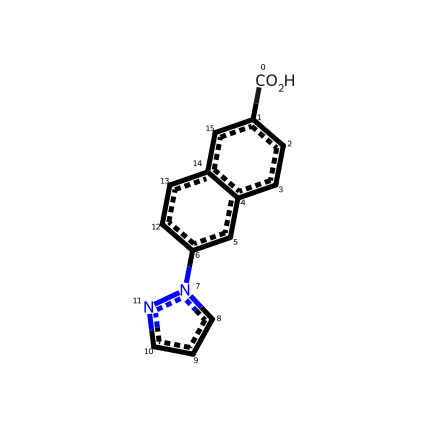 O=C(O)c1ccc2cc(-n3cccn3)ccc2c1